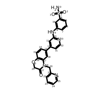 NS(=O)(=O)c1cccc(Nc2cc(-c3ccc4c(c3)N(Cc3ccccn3)C(=O)CO4)ccn2)c1